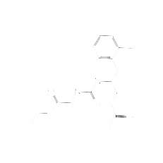 CCOC(=O)CNC(=O)NC(CSC(C)=O)Cc1ccccc1C